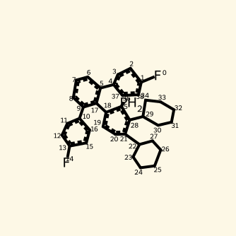 Fc1ccc(-c2cccc(-c3ccc(F)cc3)c2-c2ccc(C3CCCCC3)c(C3CCCCC3)c2P)cc1